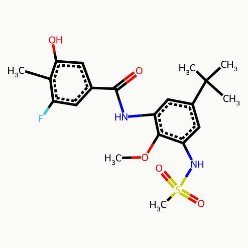 COc1c(NC(=O)c2cc(O)c(C)c(F)c2)cc(C(C)(C)C)cc1NS(C)(=O)=O